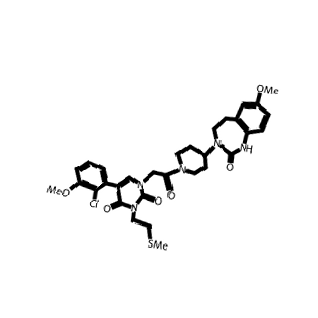 COc1ccc2c(c1)CCN(C1CCN(C(=O)Cn3cc(-c4cccc(OC)c4Cl)c(=O)n(CCSC)c3=O)CC1)C(=O)N2